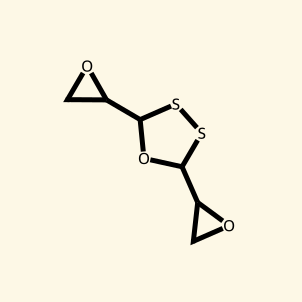 C1OC1C1OC(C2CO2)SS1